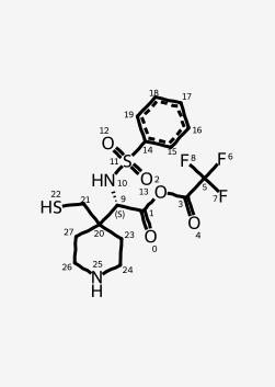 O=C(OC(=O)C(F)(F)F)[C@@H](NS(=O)(=O)c1ccccc1)C1(CS)CCNCC1